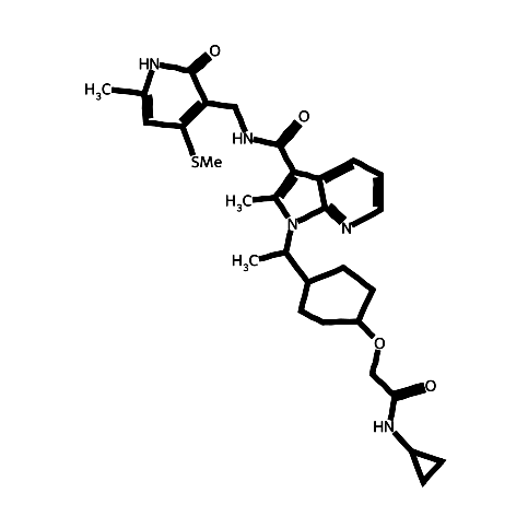 CSc1cc(C)[nH]c(=O)c1CNC(=O)c1c(C)n(C(C)C2CCC(OCC(=O)NC3CC3)CC2)c2ncccc12